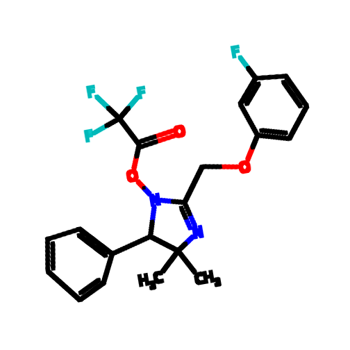 CC1(C)N=C(COc2cccc(F)c2)N(OC(=O)C(F)(F)F)C1c1ccccc1